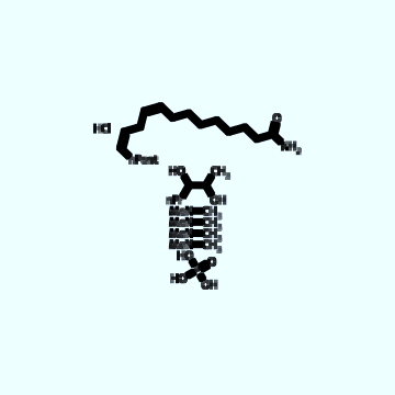 CCCC(O)C(C)O.CCCCC/C=C\C/C=C\CCCCCCCC(N)=O.CNC.CNC.CNC.CNC.Cl.O=P(O)(O)O